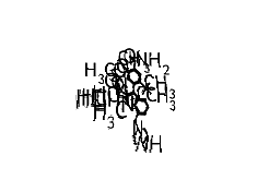 COc1c(C(N)=O)cc(C(C)(C)C)c(-c2c(C(=O)O)n(C)c3c(CN4CCNCC4)cccc23)c1NS(C)(=O)=O.Cl.Cl